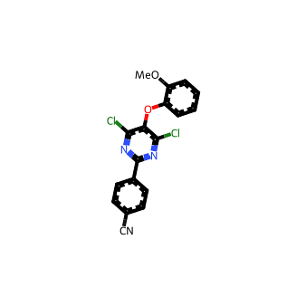 COc1ccccc1Oc1c(Cl)nc(-c2ccc(C#N)cc2)nc1Cl